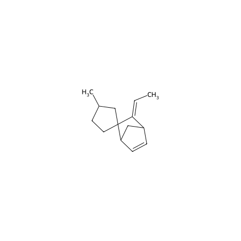 CC=C1C2C=CC(C2)C12CCC(C)C2